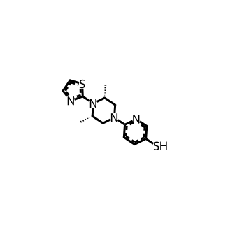 C[C@@H]1CN(c2ccc(S)cn2)C[C@H](C)N1c1nccs1